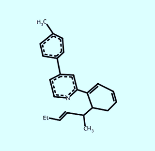 CCC=CC(C)C1CC=CC=C1c1cc(-c2ccc(C)cc2)ccn1